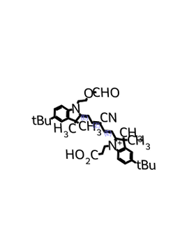 CC(C)(C)c1ccc2c(c1)C(C)(C)C(/C=C/C(C#N)=C/C=C1/N(CCOC=O)c3ccc(C(C)(C)C)cc3C1(C)C)=[N+]2CCC(=O)O